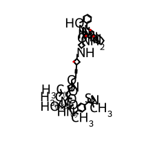 Cc1ncsc1-c1ccc([C@H](C)NC(=O)[C@@H]2C[C@@H](O)CN2C(=O)[C@@H](c2cc(OCC#CC34CC(CN[C@H]5C[C@H](Oc6cc(N7C8CCC7CN(c7cc(-c9ccccc9O)nnc7N)C8)ccn6)C5)(C3)C4)no2)C(C)C)cc1